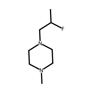 CC(F)CN1CCN(C)CC1